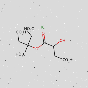 Cl.O=C(O)CC(O)C(=O)OC(CC(=O)O)(CC(=O)O)C(=O)O